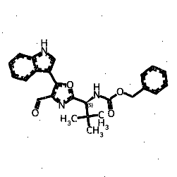 CC(C)(C)[C@H](NC(=O)OCc1ccccc1)c1nc(C=O)c(-c2c[nH]c3ccccc23)o1